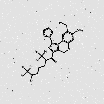 [2H]C([2H])([2H])N(CCCN(C(=O)c1nn(-c2ccsc2)c2c1COc1cc(OC)c(CC(C)C)cc1-2)C([2H])([2H])[2H])C(C)=O